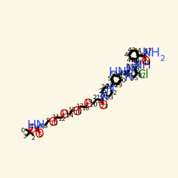 CC(C)(C)OC(=O)NCCOCCOCCOCCOCCC(=O)N1CCN(c2ccc(Nc3ncc(Cl)c(Nc4ccccc4C(N)=O)n3)cc2)CC1